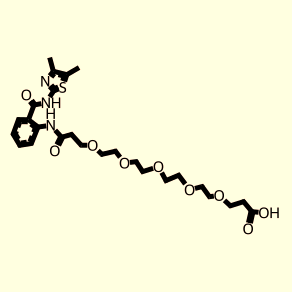 Cc1nc(NC(=O)c2ccccc2NC(=O)CCOCCOCCOCCOCCOCCC(=O)O)sc1C